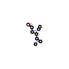 C1=Cc2oc3ccc(-c4cccc(-c5cc(-c6ccc7c(c6)c6ccccc6n7-c6ccccc6)ccc5Nc5ccc6ccccc6c5)c4)cc3c2CC1